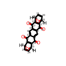 O=c1c2c(c(=O)c3cc4c(=O)c5c(c(=O)c4cc13)[C@@H]1C=C[C@H]5O1)[C@H]1C=C[C@@H]2O1